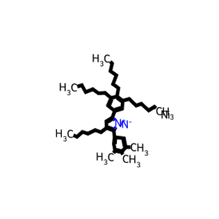 CCCCCCC1=C(c2cc(C)c(C)c(C)c2)[N+](=[N-])C(c2cc(CCCCCC)c(CCCCCC)c(CCCCCC)c2)=C1.[Ni]